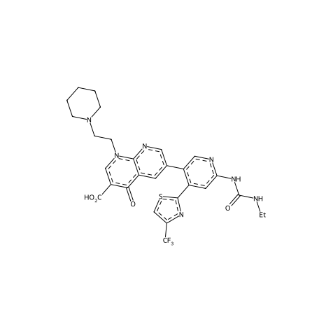 CCNC(=O)Nc1cc(-c2nc(C(F)(F)F)cs2)c(-c2cnc3c(c2)c(=O)c(C(=O)O)cn3CCN2CCCCC2)cn1